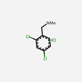 CNCc1ccc(Cl)cc1Cl.Cl